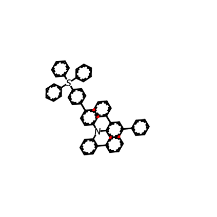 c1ccc(-c2ccc(N(c3ccc(-c4ccc(S(c5ccccc5)(c5ccccc5)c5ccccc5)cc4)cc3)c3ccccc3-c3ccccc3)c(-c3ccccc3)c2)cc1